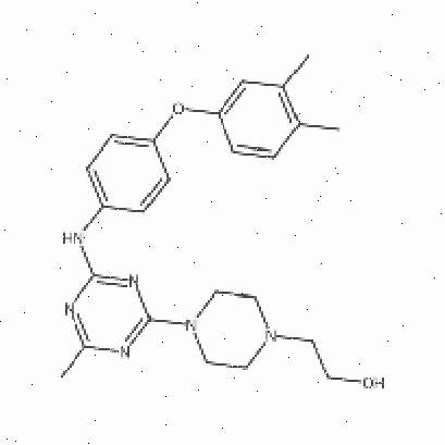 Cc1nc(Nc2ccc(Oc3ccc(C)c(C)c3)cc2)nc(N2CCN(CCO)CC2)n1